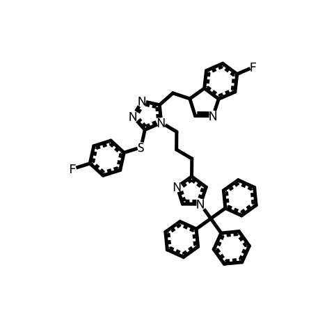 Fc1ccc(Sc2nnc(CC3C=Nc4cc(F)ccc43)n2CCCc2cn(C(c3ccccc3)(c3ccccc3)c3ccccc3)cn2)cc1